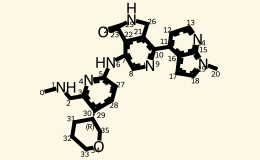 CNCc1nc(Nc2cnc(-c3ccnc4c3ccn4C)c3c2C(=O)NC3)ccc1[C@H]1CCCOC1